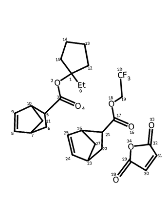 CCC1(OC(=O)C2CC3C=CC2C3)CCCC1.O=C(OCC(F)(F)F)C1CC2C=CC1C2.O=C1C=CC(=O)O1